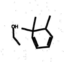 CC1C=CC=CC1(C)C.CCO